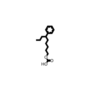 CCCC(CCCCCOC(=O)O)c1ccccc1